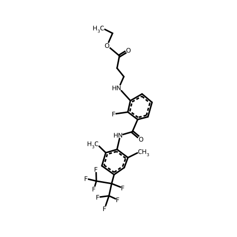 CCOC(=O)CCNc1cccc(C(=O)Nc2c(C)cc(C(F)(C(F)(F)F)C(F)(F)F)cc2C)c1F